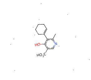 Cc1ncc(C(=O)O)c(O)c1C1=CCCCC1